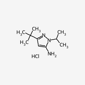 CC(C)n1nc(C(C)(C)C)cc1N.Cl